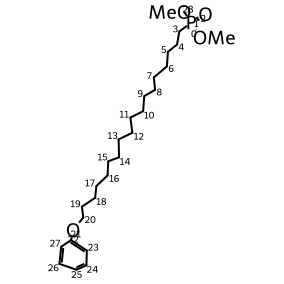 COP(=O)(CCCCCCCCCCCCCCCCCCOc1ccccc1)OC